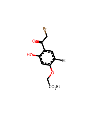 CCOC(=O)COc1cc(O)c(C(=O)CBr)cc1CC